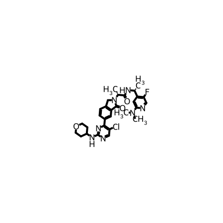 C[C@H](C(=O)N[C@H](C)c1cc(N(C)C)ncc1F)N1Cc2ccc(-c3nc(NC4CCOCC4)ncc3Cl)cc2C1=O